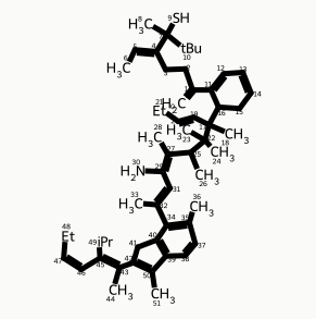 C=C(CC/C(=C\C)C(C)(S)C(C)(C)C)C1=CC=CCC1C(C)(C=CCC)C(C)(C)C(C)/C(C)=C(N)\C=C(/C)c1c(C)ccc2c1CC(/C(C)=C(/C=C\CC)C(C)C)=C2C